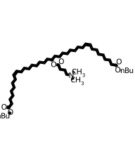 CCCCOC(=O)CCCCCCC/C=C\CCCCCCCCC(CCCCCCCC/C=C\CCCCCCCC(=O)OCCCC)OC(=O)CCCN(C)C